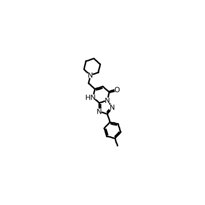 Cc1ccc(-c2nc3[nH]c(CN4CCCCC4)cc(=O)n3n2)cc1